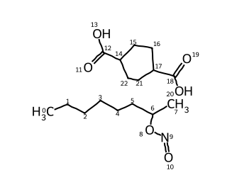 CCCCCCC(C)ON=O.O=C(O)C1CCC(C(=O)O)CC1